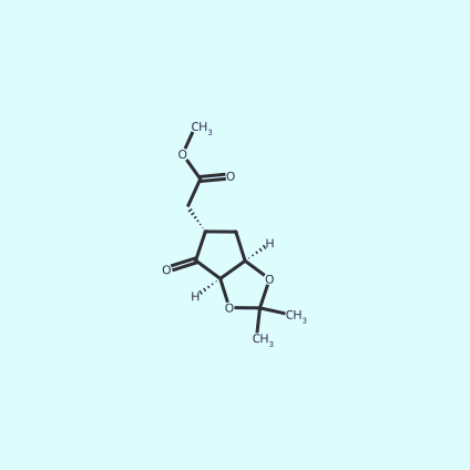 COC(=O)C[C@@H]1C[C@H]2OC(C)(C)O[C@H]2C1=O